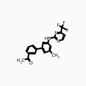 CC(=O)c1cccc(-c2cc(C)cc(Nc3nccc(C(F)(F)F)n3)c2)c1